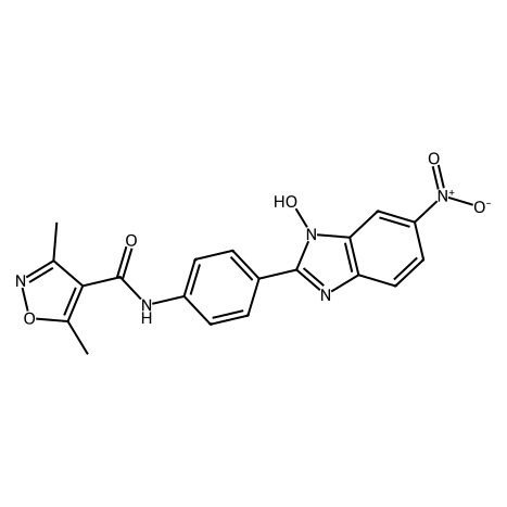 Cc1noc(C)c1C(=O)Nc1ccc(-c2nc3ccc([N+](=O)[O-])cc3n2O)cc1